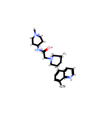 C[C@@H]1C[C@H](c2ccc(C#N)c3ncccc23)CN(CC(=O)NC2CCN(C)CC2)C1